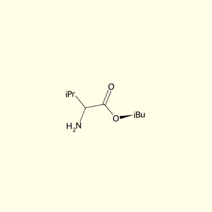 CC[C@H](C)OC(=O)C(N)C(C)C